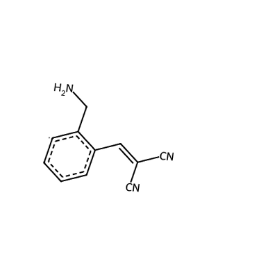 N#CC(C#N)=Cc1ccc[c]c1CN